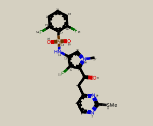 CSc1nccc(CC(=O)c2c(F)c(NS(=O)(=O)c3c(F)cccc3F)cn2C)n1